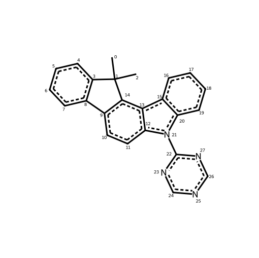 CC1(C)c2ccccc2-c2ccc3c(c21)c1ccccc1n3-c1ncncn1